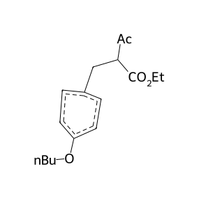 CCCCOc1ccc(CC(C(C)=O)C(=O)OCC)cc1